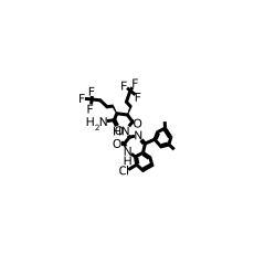 Cc1cc(C)cc(C2=NC(NC(=O)[C@H](CCC(F)(F)F)[C@H](CCCC(F)(F)F)C(N)=O)C(=O)Nc3c(Cl)cccc32)c1